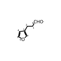 O=[C]CCc1ccoc1